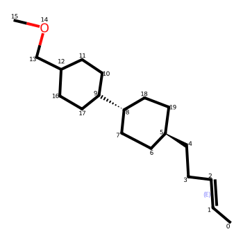 C/C=C/CC[C@H]1CC[C@H](C2CCC(COC)CC2)CC1